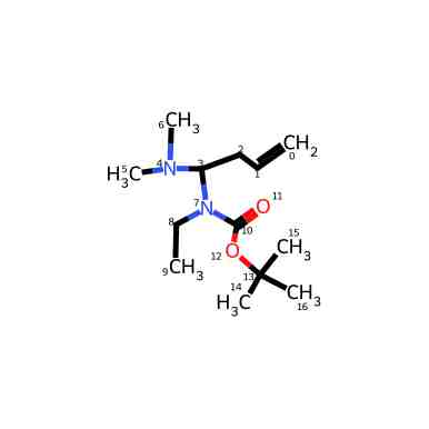 C=CCC(N(C)C)N(CC)C(=O)OC(C)(C)C